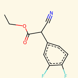 CCOC(=O)C(C#N)c1ccc(F)c(F)c1